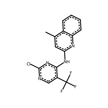 Cc1cc(Nc2nc(Cl)ncc2C(F)(F)F)nc2ccccc12